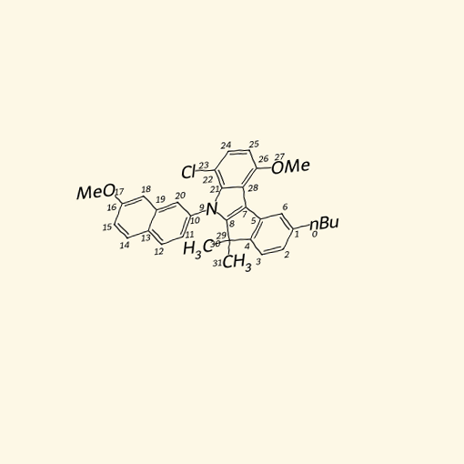 CCCCc1ccc2c(c1)-c1c(n(-c3ccc4ccc(OC)cc4c3)c3c(Cl)ccc(OC)c13)C2(C)C